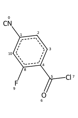 [C-]#[N+]c1ccc(C(=O)Cl)c(F)c1